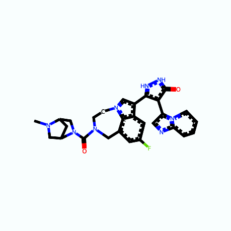 CN1CC2CC1CN2C(=O)N1CCn2cc(-c3[nH][nH]c(=O)c3-c3cnc4ccccn34)c3cc(F)cc(c32)C1